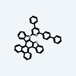 c1ccc(-c2ccc(-c3cc(-c4ccccc4)cc(-n4c5ccccc5c5c6c7ccccc7c7ccccc7c6c6c7ccccc7sc6c54)n3)cc2)cc1